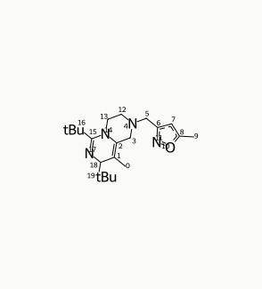 CC1=C2CN(Cc3cc(C)on3)CCN2C(C(C)(C)C)=NC1C(C)(C)C